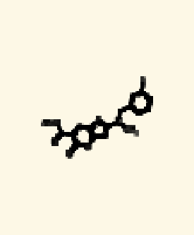 COC(=O)c1cc2sc(N(C)Cc3cccc(F)c3)cc2oc1=O